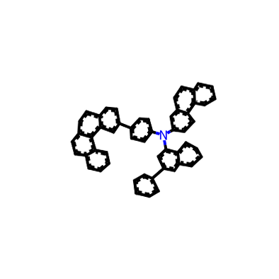 c1ccc(-c2cc(N(c3ccc(-c4ccc5ccc6ccc7ccccc7c6c5c4)cc3)c3ccc4c(ccc5ccccc54)c3)c3ccccc3c2)cc1